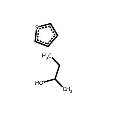 CCC(C)O.c1ccsc1